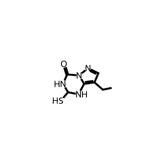 CCc1cnn2c1NC(S)NC2=O